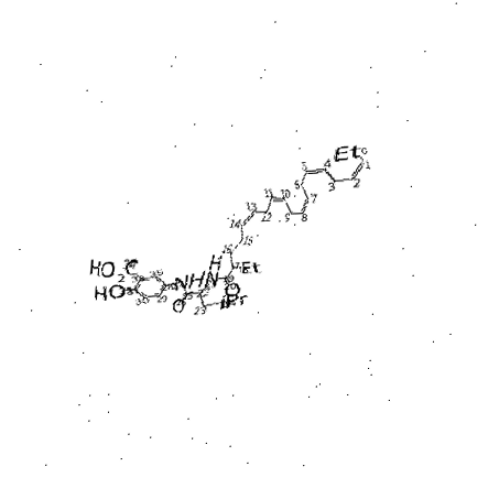 CC/C=C\C/C=C\C/C=C\C/C=C\C/C=C\CCC(CC)C(=O)NC(CC(C)C)C(=O)Nc1ccc(O)c(C(=O)O)c1